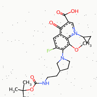 COc1c(N2CCC(CCNC(=O)OC(C)(C)C)C2)c(F)cc2c(=O)c(C(=O)O)cn(C3CC3)c12